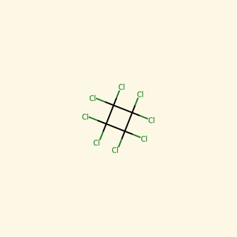 ClC1(Cl)C(Cl)(Cl)C(Cl)(Cl)C1(Cl)Cl